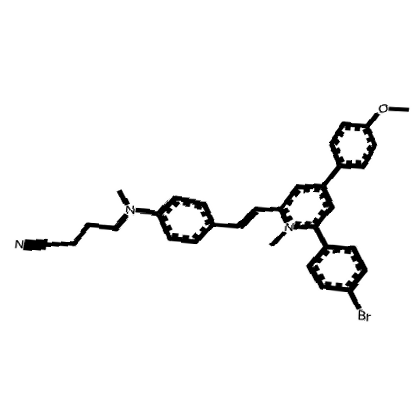 COc1ccc(-c2cc(/C=C/c3ccc(N(C)CCCC#N)cc3)[n+](C)c(-c3ccc(Br)cc3)c2)cc1